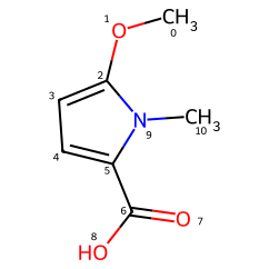 COc1ccc(C(=O)O)n1C